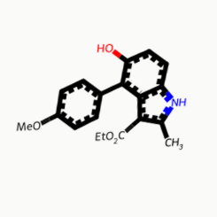 CCOC(=O)c1c(C)[nH]c2ccc(O)c(-c3ccc(OC)cc3)c12